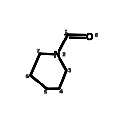 O=[C]N1CCCCC1